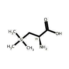 C[Si](C)(C)C[C@H](N)C(=O)O